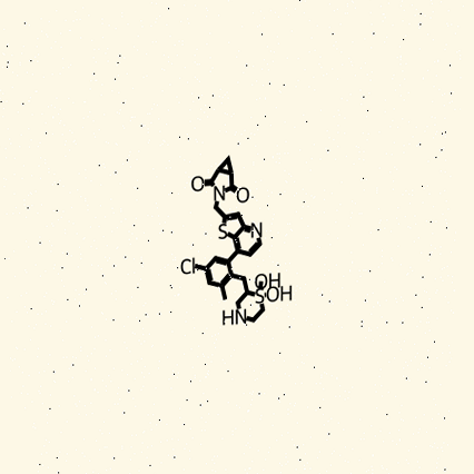 Cc1cc(Cl)cc(-c2ccnc3cc(CN4C(=O)C5CC5C4=O)sc23)c1CC1CNCCS1(O)O